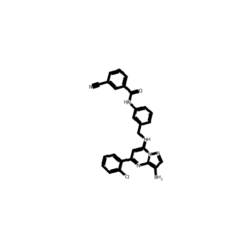 Bc1cnn2c(NCc3cccc(NC(=O)c4cccc(C#N)c4)c3)cc(-c3ccccc3Cl)nc12